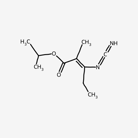 CCC(N=C=N)=C(C)C(=O)OC(C)C